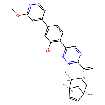 C=C(c1ncc(-c2ccc(-c3ccnc(OC)c3)cc2O)nn1)[C@@H]1C[C@@]2(C)C=C[C@H](C2)[C@@H]1F